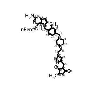 CCCCCNc1nc(N)nc2ccn(Cc3ccc(CN4CCN(CCn5cc(CC6C(=O)CC(C)C6=O)nn5)CC4)cc3C)c12